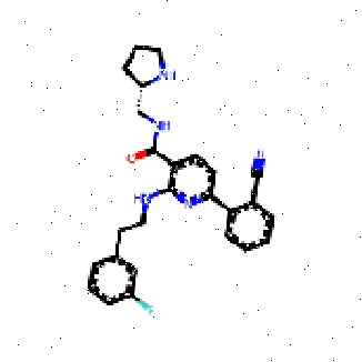 N#Cc1ccccc1-c1ccc(C(=O)NC[C@@H]2CCCN2)c(NCCc2cccc(F)c2)n1